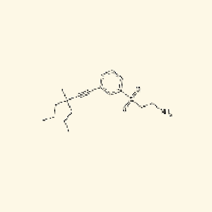 CCCC(C)(C#Cc1cccc(S(=O)(=O)CCN)c1)CCC